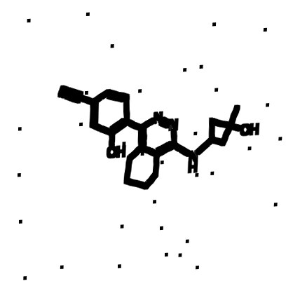 C#Cc1ccc(-c2nnc(NC3CC(C)(O)C3)c3c2CCCC3)c(O)c1